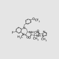 CN1C(=O)[C@H](NC(=O)C(C)(C)NC(=O)c2nccn2C)CN(Cc2ccc(OC(F)(F)F)cc2)c2ccc(F)cc21